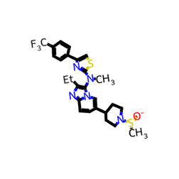 CCc1nc2ccc(C3CCN([S+](C)[O-])CC3)cn2c1N(C)c1nc(-c2ccc(C(F)(F)F)cc2)cs1